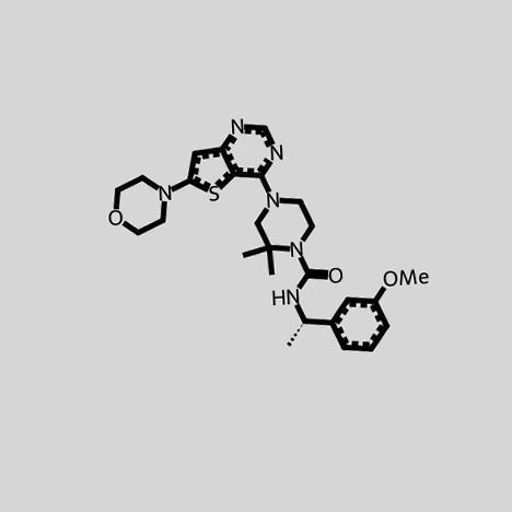 COc1cccc([C@H](C)NC(=O)N2CCN(c3ncnc4cc(N5CCOCC5)sc34)CC2(C)C)c1